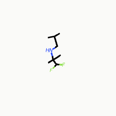 CC(C)CNC(C)(C)C(F)F